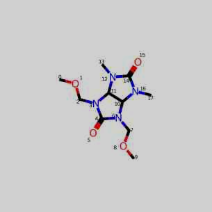 COCN1C(=O)N(COC)C2C1N(C)C(=O)N2C